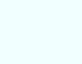 CCC(CC(C)CCC=C(C)C)OC(=O)C(=O)O